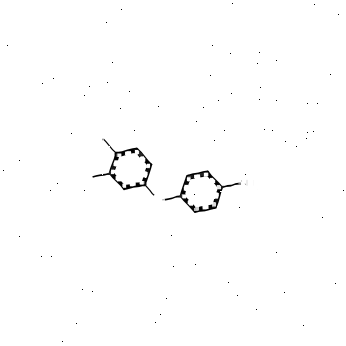 Nc1ccc(Oc2ccc(Cl)c(F)c2)cc1